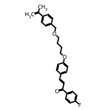 C=C(C)c1ccc(COCCCCOc2ccc(/C=C/C(=O)c3ccc(F)cc3)cc2)cc1